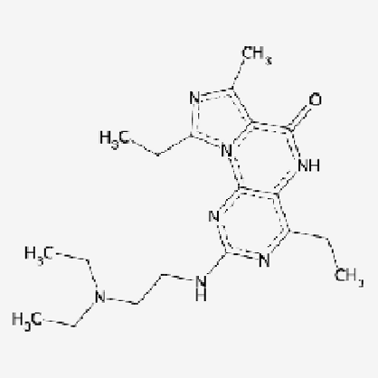 CCc1nc(NCCN(CC)CC)nc2c1[nH]c(=O)c1c(C)nc(CC)n12